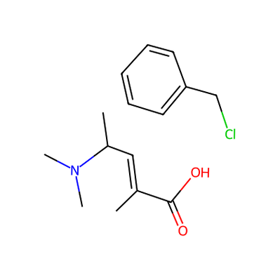 CC(=CC(C)N(C)C)C(=O)O.ClCc1ccccc1